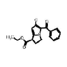 CCOC(=O)C1CCn2c1cc(Cl)c2C(=O)c1ccccc1